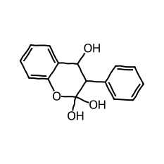 OC1c2ccccc2OC(O)(O)C1c1ccccc1